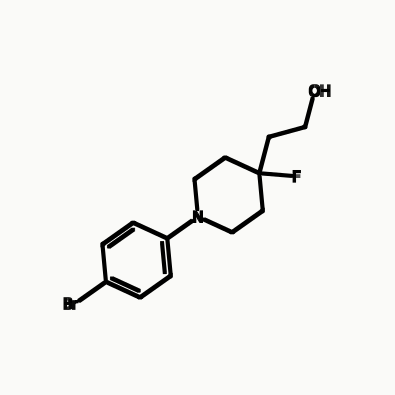 OCCC1(F)CCN(c2ccc(Br)cc2)CC1